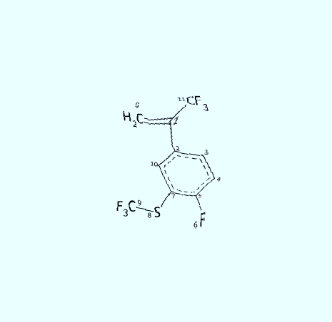 C=C(c1ccc(F)c(SC(F)(F)F)c1)C(F)(F)F